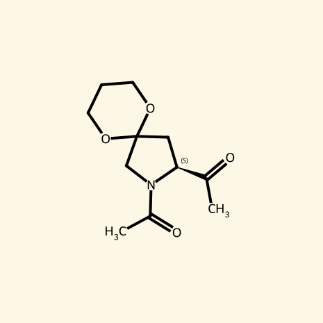 CC(=O)[C@@H]1CC2(CN1C(C)=O)OCCCO2